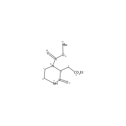 CCOC(=O)CC1C(=O)NCCN1C(=O)OC(C)(C)C